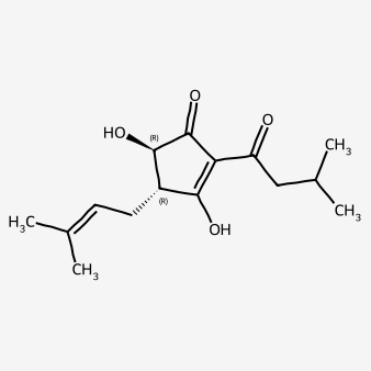 CC(C)=CC[C@H]1C(O)=C(C(=O)CC(C)C)C(=O)[C@@H]1O